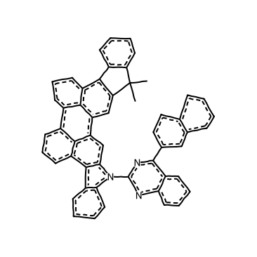 CC1(C)c2ccccc2-c2c1cc1c3cc4c(c5cccc(c6cccc2c61)c35)c1ccccc1n4-c1nc(-c2ccc3ccccc3c2)c2ccccc2n1